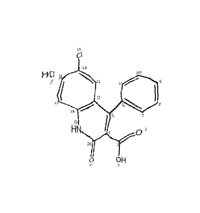 Cl.O=C(O)c1c(-c2ccccc2)c2cc(Cl)ccc2[nH]c1=O